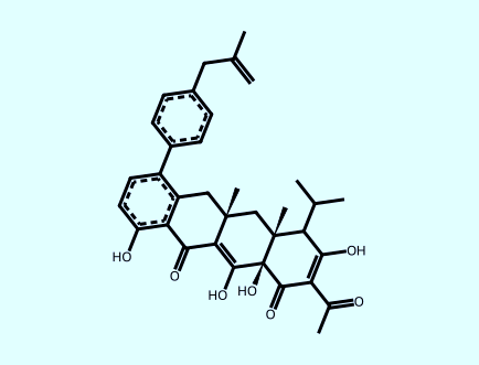 C=C(C)Cc1ccc(-c2ccc(O)c3c2C[C@]2(C)C[C@]4(C)C(C(C)C)C(O)=C(C(C)=O)C(=O)[C@]4(O)C(O)=C2C3=O)cc1